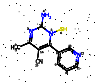 CC1=NC(N)N(S)C(c2cccnc2)=C1C#N